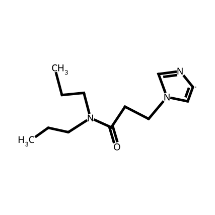 CCCN(CCC)C(=O)CCn1c[c]nc1